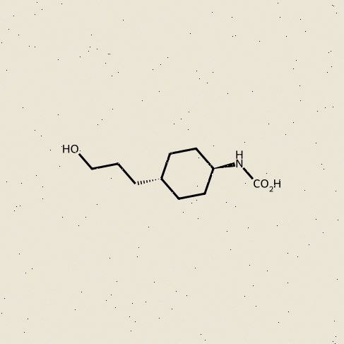 O=C(O)N[C@H]1CC[C@H](CCCO)CC1